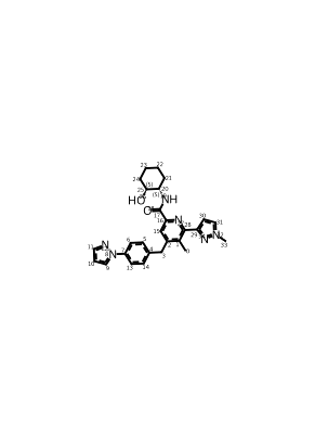 Cc1c(Cc2ccc(-n3cccn3)cc2)cc(C(=O)N[C@H]2CCCC[C@@H]2O)nc1-c1ccn(C)n1